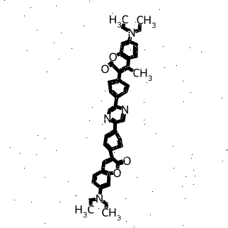 CCN(CC)c1ccc2cc(-c3ccc(-c4cnc(-c5ccc(-c6c(C)c7ccc(N(CC)CC)cc7oc6=O)cc5)cn4)cc3)c(=O)oc2c1